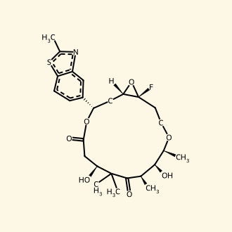 Cc1nc2cc([C@@H]3C[C@@H]4O[C@]4(F)CCO[C@@H](C)[C@@H](O)[C@@H](C)C(=O)C(C)(C)[C@@H](O)CC(=O)O3)ccc2s1